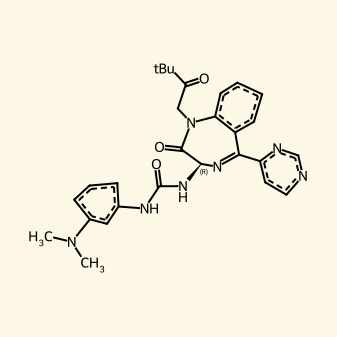 CN(C)c1cccc(NC(=O)N[C@@H]2N=C(c3ccncn3)c3ccccc3N(CC(=O)C(C)(C)C)C2=O)c1